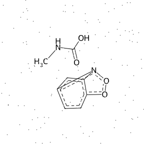 CNC(=O)O.c1cc2cc3c1oon2-3